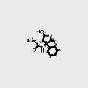 CC(C)(C)OC(=O)NC1(c2ccccc2)CC(O)OC1=O